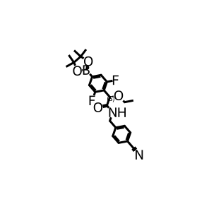 CCO[C@H](C(=O)NCc1ccc(C#N)cc1)c1c(F)cc(B2OC(C)(C)C(C)(C)O2)cc1F